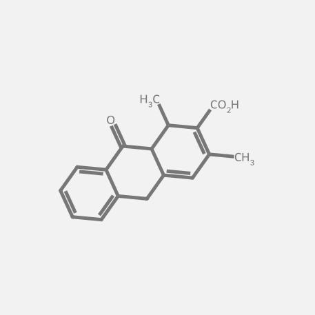 CC1=C(C(=O)O)C(C)C2C(=O)c3ccccc3CC2=C1